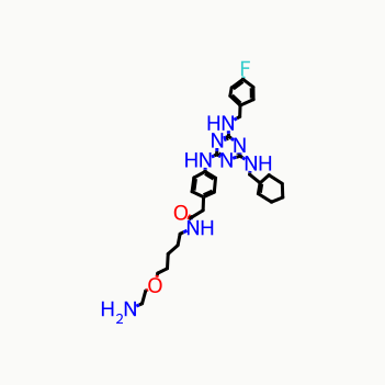 NCCOCCCCCNC(=O)Cc1ccc(Nc2nc(NCC3=CCCCC3)nc(NCc3ccc(F)cc3)n2)cc1